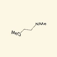 [CH2]NCCOC